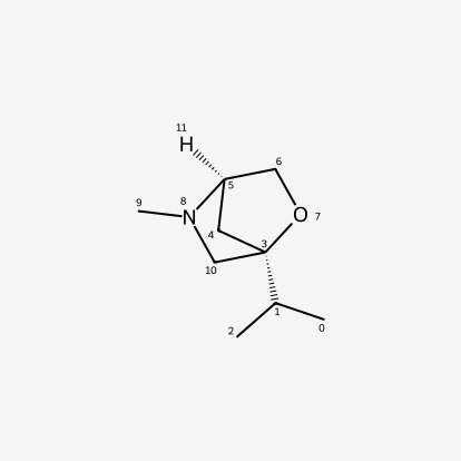 CC(C)[C@]12C[C@H](CO1)N(C)C2